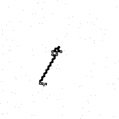 C=C1CC(=O)N(OC(=O)CCCCCCCCCCCCCCC(=O)O)C1=O